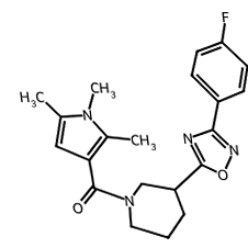 Cc1cc(C(=O)N2CCCC(c3nc(-c4ccc(F)cc4)no3)C2)c(C)n1C